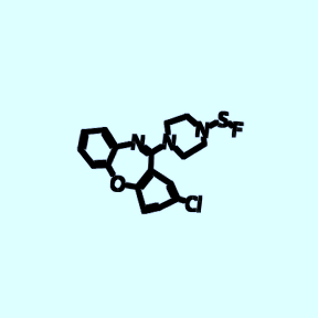 FSN1CCN(C2=Nc3ccccc3Oc3ccc(Cl)cc32)CC1